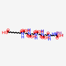 O=C(O)CCCCCCCCCC(=O)N[C@@H](CCC(=O)N[C@@H](CCC(=O)N[C@@H](CCC(=O)N[C@@H](CCC(=O)NCCCC[C@H](NP)C(=O)O)C(=O)O)C(=O)O)C(=O)O)C(=O)O